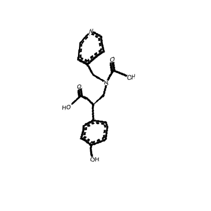 O=C(O)[C@@H](CN(Cc1ccncc1)C(=O)O)c1ccc(O)cc1